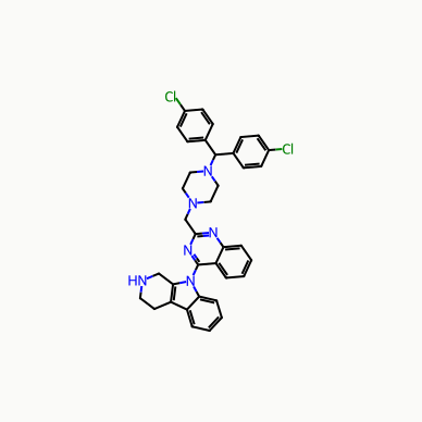 Clc1ccc(C(c2ccc(Cl)cc2)N2CCN(Cc3nc(-n4c5c(c6ccccc64)CCNC5)c4ccccc4n3)CC2)cc1